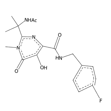 CC(=O)NC(C)(C)c1nc(C(=O)NCc2ccc(F)cc2)c(O)c(=O)n1C